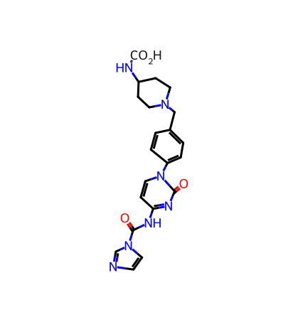 O=C(O)NC1CCN(Cc2ccc(-n3ccc(NC(=O)n4ccnc4)nc3=O)cc2)CC1